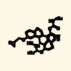 CCCCNC(=O)Oc1ccc2ccc(OC(CCCC)NO)c(Cc3c(OCC4CO4)ccc4ccc(OCC5CO5)cc34)c2c1